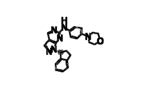 c1ccc2c(c1)CC[C@H]2n1ncc2cnc(Nc3ccc(N4CCOCC4)cc3)nc21